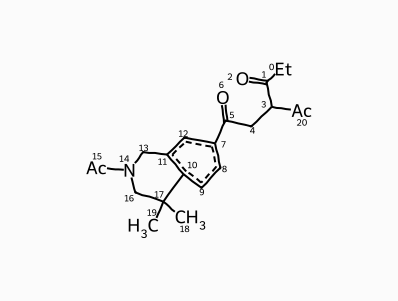 CCC(=O)C(CC(=O)c1ccc2c(c1)CN(C(C)=O)CC2(C)C)C(C)=O